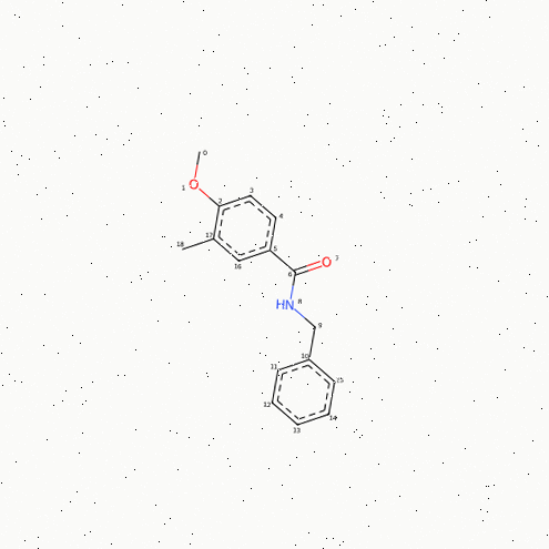 COc1ccc(C(=O)NCc2ccccc2)cc1C